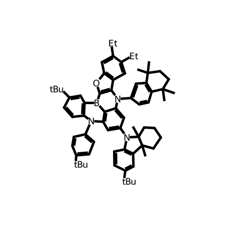 CCc1cc2oc3c(c2cc1CC)N(c1ccc2c(c1)C(C)(C)CCC2(C)C)c1cc(N2c4ccc(C(C)(C)C)cc4C4(C)CCCCC24C)cc2c1B3c1cc(C(C)(C)C)ccc1N2c1ccc(C(C)(C)C)cc1